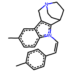 Cc1ccc(/C=C\n2c3c(c4cc(C)ccc42)CN2CCC3CC2)cc1